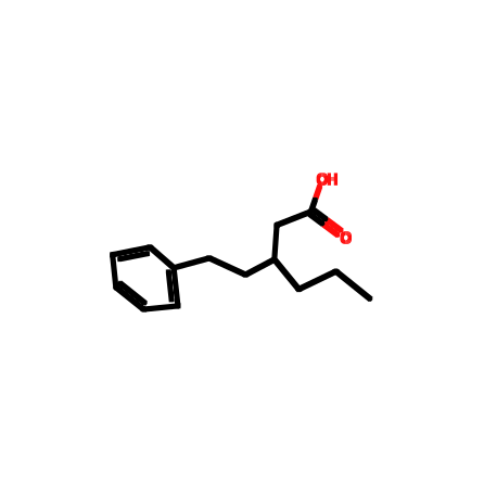 CCCC(CCc1ccccc1)CC(=O)O